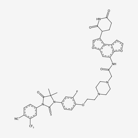 CC1(C)C(=O)N(c2ccc(C#N)c(C(F)(F)F)c2)C(=S)N1c1ccc(OCCN2CCN(CC(=O)Nc3cc4occ(C5CCC(=O)NC5=O)c4c4ccoc34)CC2)c(F)c1